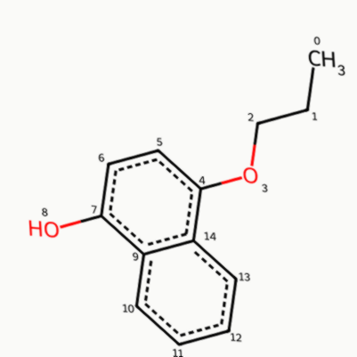 CCCOc1ccc(O)c2ccccc12